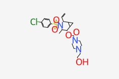 C=CC1C2CC2[C@H](OC(=O)N2CCN(CCO)CC2)C(C)N1S(=O)(=O)c1ccc(Cl)cc1